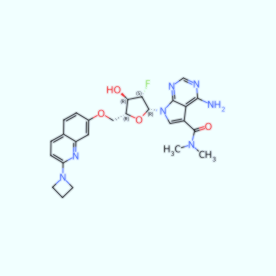 CN(C)C(=O)c1cn([C@@H]2O[C@H](COc3ccc4ccc(N5CCC5)nc4c3)[C@@H](O)[C@@H]2F)c2ncnc(N)c12